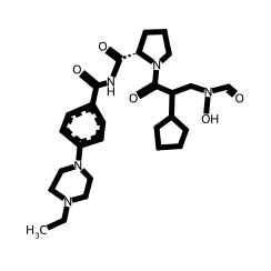 CCN1CCN(c2ccc(C(=O)NC(=O)[C@@H]3CCCN3C(=O)C(CN(O)C=O)C3CCCC3)cc2)CC1